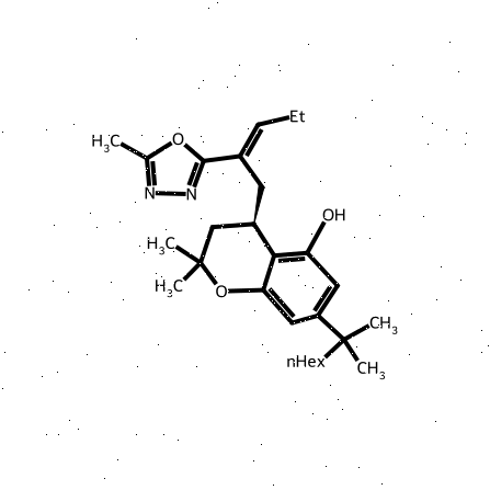 CC/C=C(\C[C@@H]1CC(C)(C)Oc2cc(C(C)(C)CCCCCC)cc(O)c21)c1nnc(C)o1